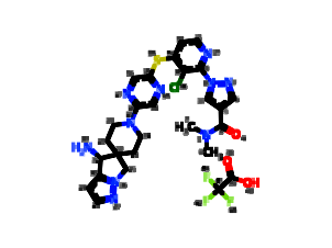 CN(C)C(=O)c1cnn(-c2nccc(Sc3cnc(N4CCC5(CC4)Cn4nccc4[C@H]5N)cn3)c2Cl)c1.O=C(O)C(F)(F)F